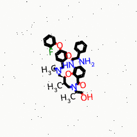 C[C@@H]1CN([C@@H](C)CO)C(=O)c2cccc(NC(=O)C(N)c3ccccc3)c2O[C@@H]1CN(C)Cc1ccc(Oc2ccccc2F)cc1